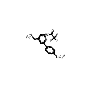 NCc1ccnc(-c2ccc(C(=O)O)cc2)c1.O=C(O)C(F)(F)F